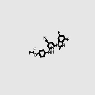 Cc1nc2c(F)cc(F)cc2n1-c1cc(C#N)cc(Nc2ccc(OC(F)F)cc2)n1